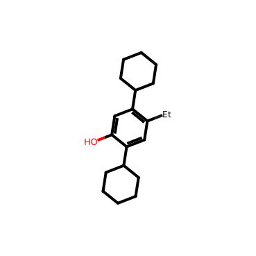 CCc1cc(C2CCCCC2)c(O)cc1C1CCCCC1